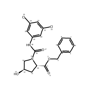 O=C(OCc1ccccc1)[C@@H]1C[C@@H](O)CN1C(=O)Nc1cc(Cl)cc(Cl)c1